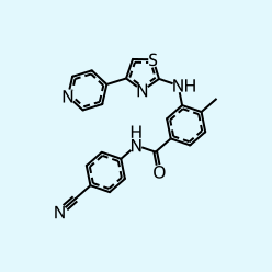 Cc1ccc(C(=O)Nc2ccc(C#N)cc2)cc1Nc1nc(-c2ccncc2)cs1